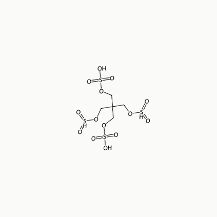 O=[SH](=O)OCC(CO[SH](=O)=O)(COS(=O)(=O)O)COS(=O)(=O)O